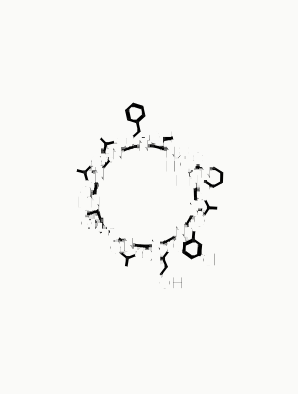 CC[C@H]1NC(=O)C[C@@H](C(=O)N2CCCCC2)NC(=O)[C@H](CC(C)C)N(C)C(=O)[C@H](Cc2cccc(Cl)c2)N(C)C(=O)[C@H](CCCCO)NC(=O)[C@H](CC(C)C)N(C)C(=O)CN(C)C(=O)[C@H]([C@@H](C)O)NC(=O)[C@H](CC(C)C)N(C)C(=O)[C@H](CC(C)C)NC(=O)[C@H](CCc2ccccc2)N(C)C1O